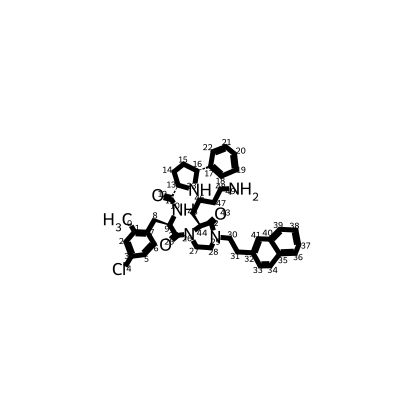 Cc1cc(Cl)ccc1C[C@@H](NC(=O)[C@@H]1CC[C@H](c2ccccc2)N1)C(=O)N1CCN(CCc2ccc3ccccc3c2)C(=O)[C@@H]1CCCCN